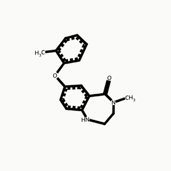 Cc1ccccc1Oc1ccc2c(c1)C(=O)N(C)CCN2